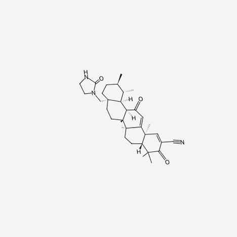 C[C@@H]1[C@H]2[C@H]3C(=O)C=C4[C@@]5(C)C=C(C#N)C(=O)C(C)(C)[C@@H]5CC[C@@]4(C)[C@]3(C)CC[C@@]2(CN2CCNC2=O)CC[C@H]1C